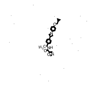 C[C@H](NC(=O)c1cnco1)c1ccc(C2CN(c3ccc(OCC4CC4)cc3)C2)cc1